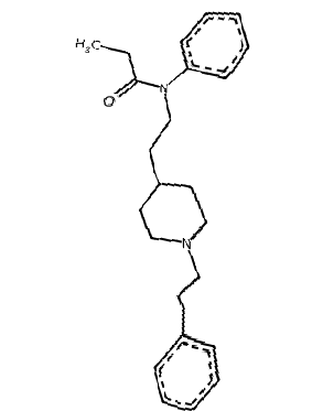 CCC(=O)N(CCC1CCN(CCc2ccccc2)CC1)c1ccccc1